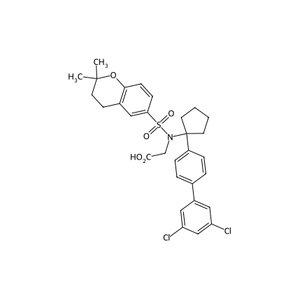 CC1(C)CCc2cc(S(=O)(=O)N(CC(=O)O)C3(c4ccc(-c5cc(Cl)cc(Cl)c5)cc4)CCCC3)ccc2O1